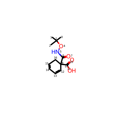 CC(C)(C)ONC(=O)C1(C(=O)O)C=CC=CC1